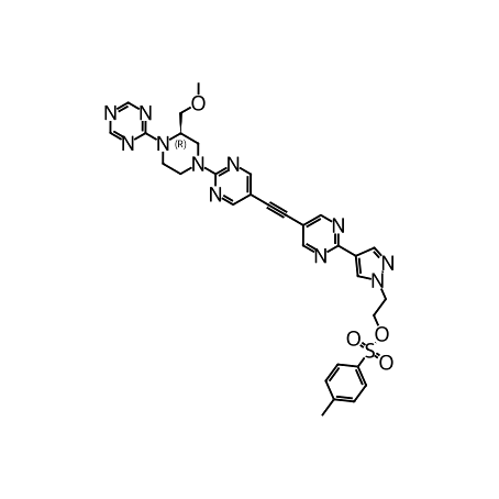 COC[C@H]1CN(c2ncc(C#Cc3cnc(-c4cnn(CCOS(=O)(=O)c5ccc(C)cc5)c4)nc3)cn2)CCN1c1ncncn1